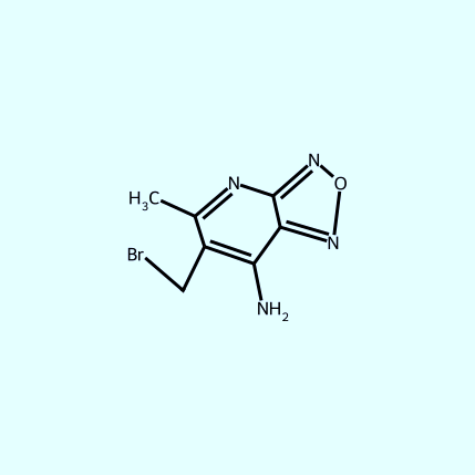 Cc1nc2nonc2c(N)c1CBr